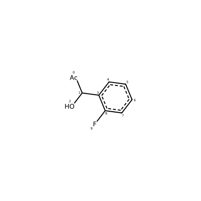 CC(=O)C(O)c1ccccc1F